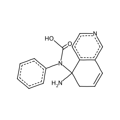 NC1(N(C(=O)O)c2ccccc2)CC=Cc2cnccc21